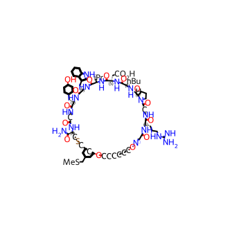 CCCC[C@@H]1NC(=O)[C@@H]2CCCN2C(=O)CNC(=O)[C@H](CCCNC(=N)N)NC(=O)/C=N/OCCCCCCOc2cc(CSC)cc(c2)CSC[C@@H](C(N)=O)NC(=O)CNC(=O)[C@H](Cc2ccc(O)cc2)NC(=O)[C@H](Cc2c[nH]c3ccccc23)NC(=O)C(C(C)C)NC(=O)[C@H](CC(=O)O)NC1=O